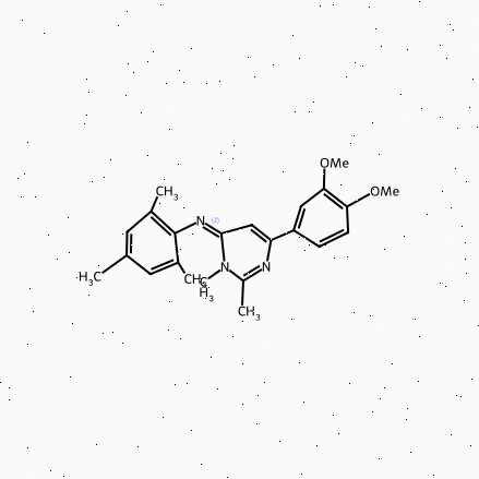 COc1ccc(-c2c/c(=N/c3c(C)cc(C)cc3C)n(C)c(C)n2)cc1OC